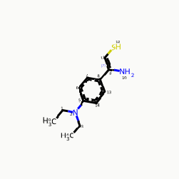 CCN(CC)c1ccc(/C(N)=C/S)cc1